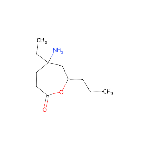 CCCC1CC(N)(CC)CCC(=O)O1